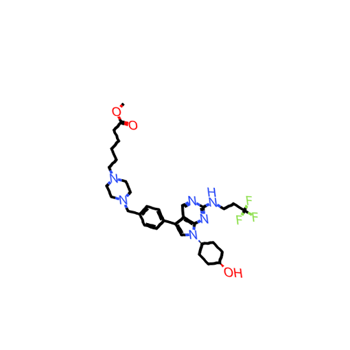 COC(=O)CCCCCN1CCN(Cc2ccc(-c3cn([C@H]4CC[C@H](O)CC4)c4nc(NCCC(F)(F)F)ncc34)cc2)CC1